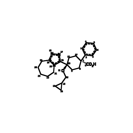 O=C(O)[C@]1(c2ccccc2)CC[C@](OCC2CC2)(c2nnc3n2CCCCC3)CC1